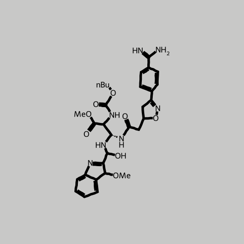 CCCCOC(=O)NC(C(=O)OC)[C@H](NC(=O)CC1CC(c2ccc(C(=N)N)cc2)=NO1)NC(O)C1=Nc2ccccc2C1OC